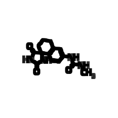 CNC(=O)Nc1ccc2c(c1)CCCC21NC(=O)NC1=O